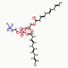 CC=CCC=CCC=CCC(=O)OC[C@H](COP(=O)(O)OCC[N+](C)(C)C)OC(=O)CC=CCC=CCC=CC